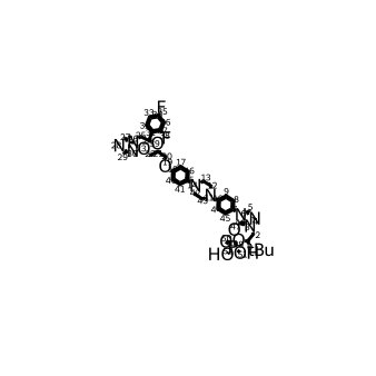 CC(C)(C)C(Cn1ncn(-c2ccc(N3CCN(c4ccc(OCC5COC(Cn6cncn6)(c6ccc(F)cc6F)O5)cc4)CC3)cc2)c1=O)OP(=O)(O)O